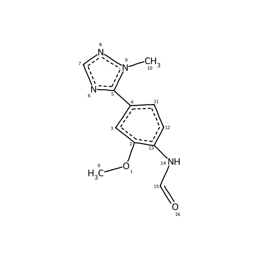 COc1cc(-c2ncnn2C)ccc1NC=O